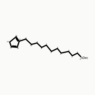 CCCCCCCCCCCCCCCCCCCCCC1=[C]CC=C1